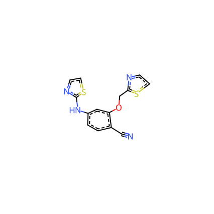 N#Cc1ccc(Nc2nccs2)cc1OCc1nccs1